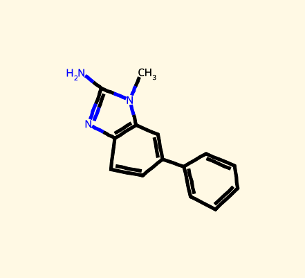 Cn1c(N)nc2ccc(-c3ccccc3)cc21